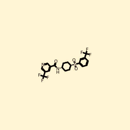 O=C(N[C@H]1CC[C@H](S(=O)(=O)c2cccc(C(F)(F)F)c2)CC1)c1cncc(C(F)(F)F)c1